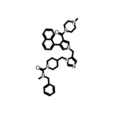 CN1CCN(C(=O)c2cn(Cc3cncn3CC3CCN(C(=O)N(C)Cc4ccccc4)CC3)cc2-c2cccc3ccccc23)CC1